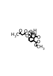 COC(=O)C1=CC=CC2(C(C)OC(=O)CC(C)=O)C(=O)NC(=O)C12